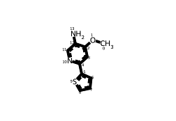 COc1cc(-c2cccs2)ncc1N